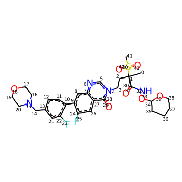 CC(CCn1cnc2cc(-c3ccc(CN4CCOCC4)cc3F)c(F)cc2c1=O)(C(=O)NOC1CCCCO1)S(C)(=O)=O